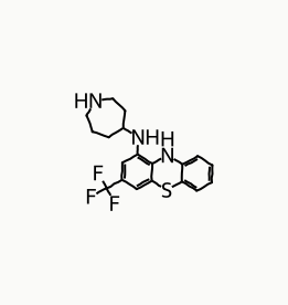 FC(F)(F)c1cc(NC2CCCNCC2)c2c(c1)Sc1ccccc1N2